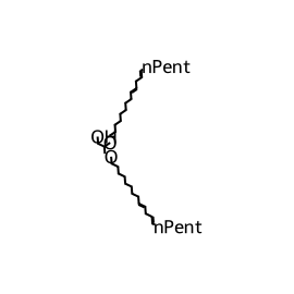 CCCCCC=CCC=CCCCCCCCCOCC(CO)OCCCCCCCCC=CCC=CCCCCC